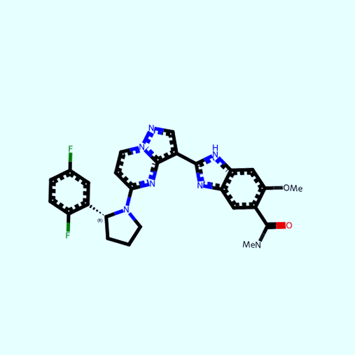 CNC(=O)c1cc2nc(-c3cnn4ccc(N5CCC[C@@H]5c5cc(F)ccc5F)nc34)[nH]c2cc1OC